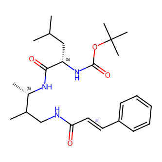 CC(C)C[C@H](NC(=O)OC(C)(C)C)C(=O)N[C@@H](C)C(C)CNC(=O)/C=C/c1ccccc1